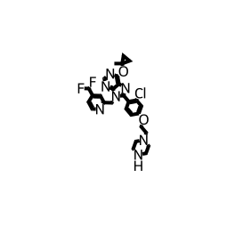 CC1(Oc2ncnc3c2nc(-c2ccc(OCCN4CCNCC4)cc2Cl)n3Cc2cc(C(F)F)ccn2)CC1